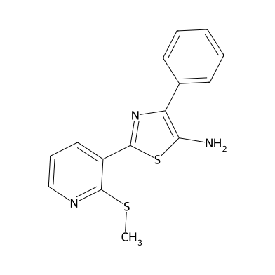 CSc1ncccc1-c1nc(-c2ccccc2)c(N)s1